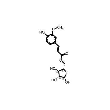 COc1cc(C=CC(=O)OC[C@@H]2O[C@@H](O)[C@H](O)[C@H]2O)ccc1O